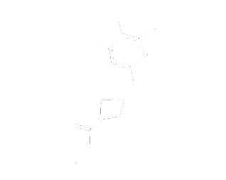 CC(C)(C)OC(=O)N1CC(Oc2cc(F)c(F)c(F)c2)C1